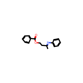 CC(CCOC(=O)c1ccccc1)=Nc1ccccc1